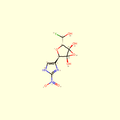 O=[N+]([O-])c1nc([C@H]2O[C@H](C(O)F)[C@]3(O)O[C@]23O)c[nH]1